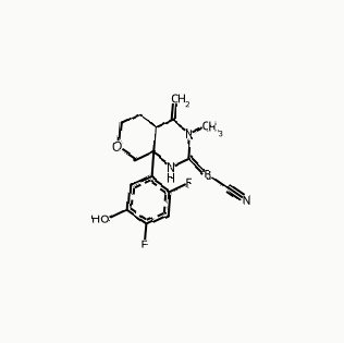 C=C1C2CCOCC2(c2cc(O)c(F)cc2F)NC(=BC#N)N1C